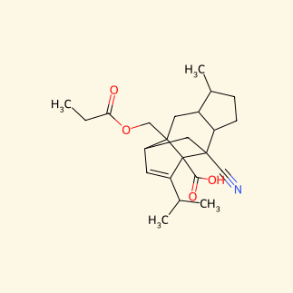 CCC(=O)OCC12CC3C(C)CCC3C3(C#N)CC1C=C(C(C)C)C32C(=O)O